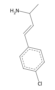 CC(N)C=Cc1ccc(Cl)cc1